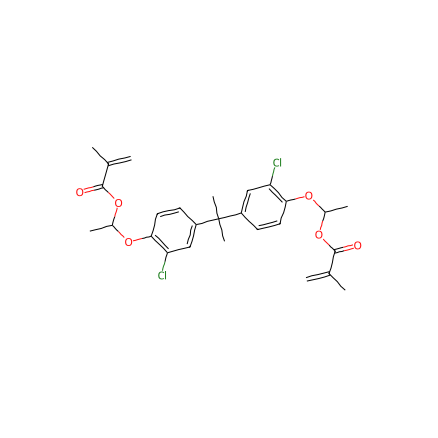 C=C(C)C(=O)OC(C)Oc1ccc(C(C)(C)c2ccc(OC(C)OC(=O)C(=C)C)c(Cl)c2)cc1Cl